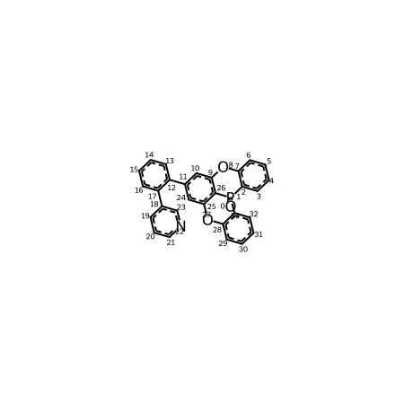 O=P12c3ccccc3Oc3cc(-c4ccccc4-c4cccnc4)cc(c31)Oc1ccccc12